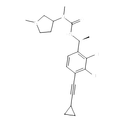 C[C@H](NC(=O)N(C)C1CCN(C)C1)c1ccc(C#CC2CC2)c(Cl)c1Cl